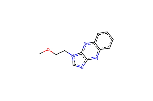 COCCn1cnc2nc3ccccc3nc21